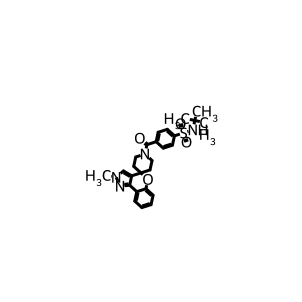 Cn1cc2c(n1)-c1ccccc1OC21CCN(C(=O)c2ccc(S(=O)(=O)NC(C)(C)C)cc2)CC1